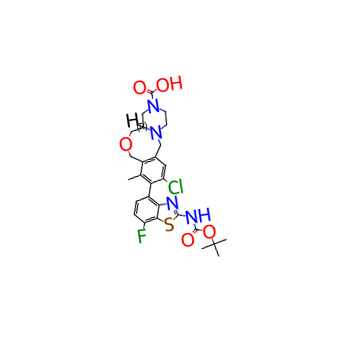 Cc1c2c(cc(Cl)c1-c1ccc(F)c3sc(NC(=O)OC(C)(C)C)nc13)CN1CCN(C(=O)O)C[C@@H]1COC2